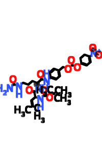 CC(C)=CC(NC(=O)OC(C)(C)C)C(=O)N[C@@H](CCCNC(N)=O)C(=O)Nc1ccc(COC(=O)OC2=CC=C([N+](=O)[O-])CC2)cc1